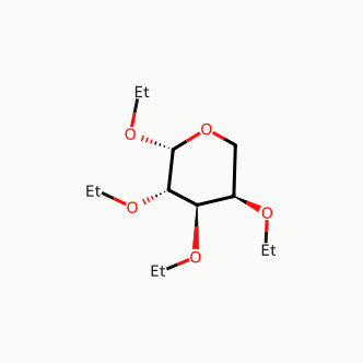 CCO[C@@H]1OC[C@@H](OCC)[C@@H](OCC)[C@@H]1OCC